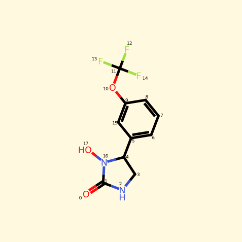 O=C1NCC(c2cccc(OC(F)(F)F)c2)N1O